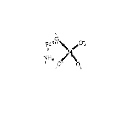 [Fe+3].[NH4+].[O-][Si]([O-])([O-])[O-]